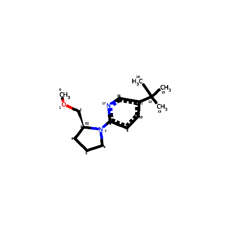 COC[C@@H]1CCCN1c1ccc(C(C)(C)C)cn1